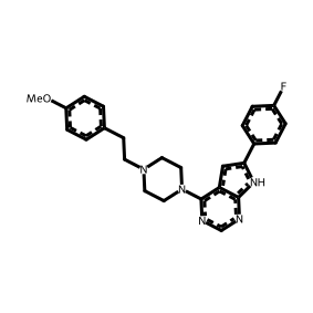 COc1ccc(CCN2CCN(c3ncnc4[nH]c(-c5ccc(F)cc5)cc34)CC2)cc1